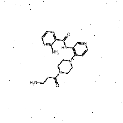 NCCC(=O)N1CCN(c2ccncc2NC(=O)c2nccnc2N)CC1